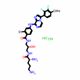 CCc1cc(Nc2nccn3c(-c4ccc(OC)c(F)c4F)cnc23)ccc1C(=O)NC[C@@H](O)CNC(=O)[C@H](N)CCCN.Cl.Cl